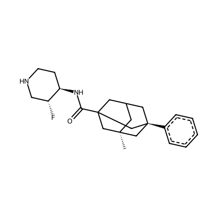 C[C@@]12CC3CC(C(=O)N[C@@H]4CCNC[C@H]4F)(C1)C[C@](c1ccccc1)(C3)C2